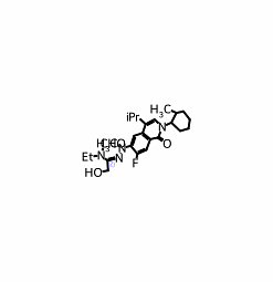 CCN(C=O)/C(CO)=N\N(C)c1cc2c(C(C)C)cn(C3CCCCC3C)c(=O)c2cc1F